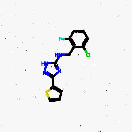 Fc1cccc(Cl)c1CNc1nc(-c2cccs2)n[nH]1